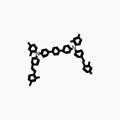 Cc1ccc(/C=C/c2ccc(N(c3ccc(-c4ccc(-c5ccc(N(c6ccc(CCc7ccc(C)cc7C)cc6)c6ccc(C)cc6C)cc5)cc4)cc3)c3ccc(C)cc3C)cc2)c(C)c1